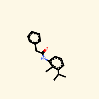 Cc1c(NC(=O)Cc2ccccc2)cccc1C(C)C